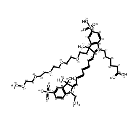 CCN1/C(=C/C=C/C=C/C=C/C2=[N+](CCCCCC(=O)O)c3ccc(S(=O)(=O)O)cc3C2(C)CCOCCOCCOCCOCCOC)C(C)(C)c2cc(S(=O)(=O)[O-])ccc21